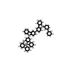 c1ccc(-c2cccc(-n3c4ccccc4c4cc(-c5ccc6c(c5)c5ccccc5n6-c5ccc6c(c5)Sc5ccccc5[Si]6(c5ccccc5)c5ccccc5)ccc43)c2)cc1